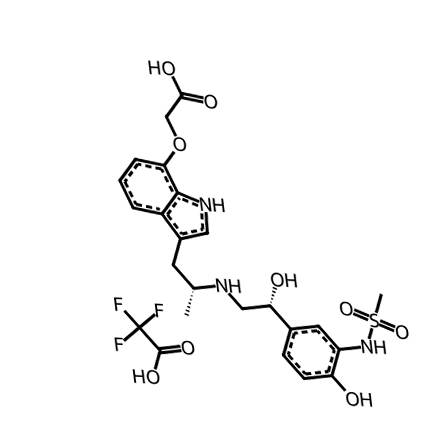 C[C@H](Cc1c[nH]c2c(OCC(=O)O)cccc12)NC[C@H](O)c1ccc(O)c(NS(C)(=O)=O)c1.O=C(O)C(F)(F)F